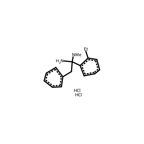 CCc1ccccc1C(N)(Cc1ccccc1)NC.Cl.Cl